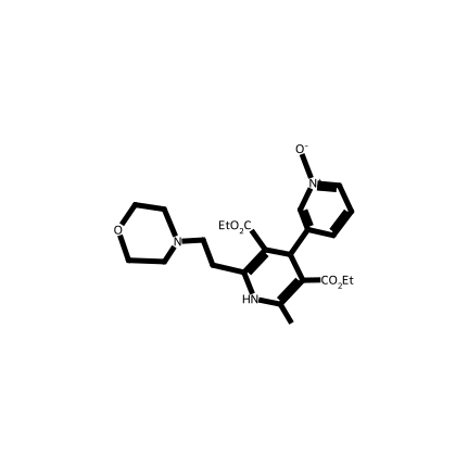 CCOC(=O)C1=C(C)NC(CCN2CCOCC2)=C(C(=O)OCC)C1c1ccc[n+]([O-])c1